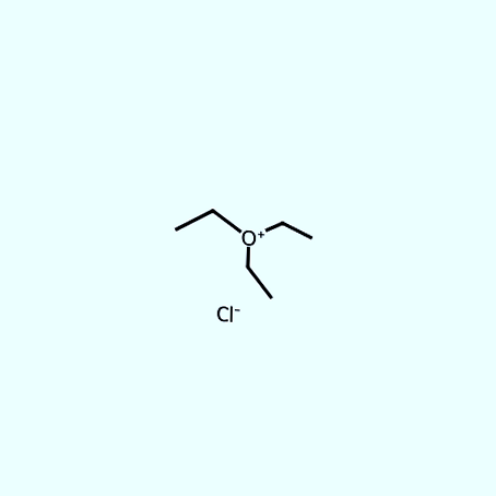 CC[O+](CC)CC.[Cl-]